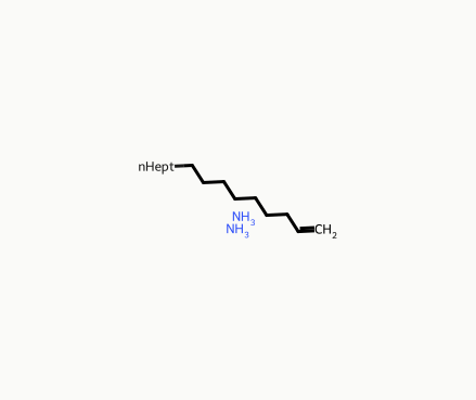 C=CCCCCCCCCCCCCCC.N.N